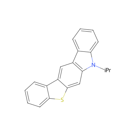 CC(C)n1c2ccccc2c2cc3c(cc21)sc1ccccc13